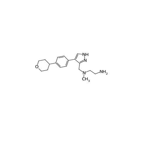 CN(CCN)Cc1n[nH]cc1-c1ccc(C2CCOCC2)cc1